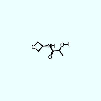 CC(OI)C(=O)NC1COC1